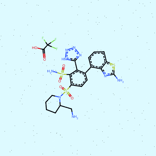 NCC1CCCCN1S(=O)(=O)c1ccc(-c2cccc3sc(N)nc23)c(-c2nnn[nH]2)c1S(N)(=O)=O.O=C(O)C(F)(F)F